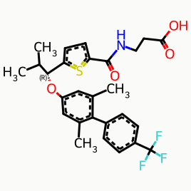 Cc1cc(O[C@@H](c2ccc(C(=O)NCCC(=O)O)s2)C(C)C)cc(C)c1-c1ccc(C(F)(F)F)cc1